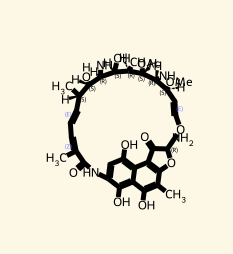 CO[C@H]1/C=C/O[C@@]2(N)Oc3c(C)c(O)c4c(O)c(cc(O)c4c3C2=O)NC(=O)/C(C)=C\C=C\[C@H](C)[C@H](O)[C@@H](N)[C@@H](O)[C@@H](C)[C@H](OC(C)=O)[C@@H]1N